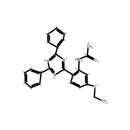 CCOc1ccc(-c2nc(-c3ccccc3)nc(-c3ccccc3)n2)c(NC(C)=O)c1